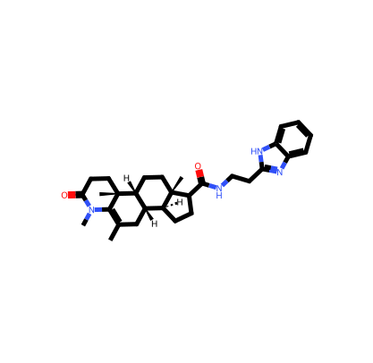 CC1=C2N(C)C(=O)CC[C@]2(C)[C@@H]2CC[C@]3(C)C(C(=O)NCCc4nc5ccccc5[nH]4)CC[C@H]3[C@@H]2C1